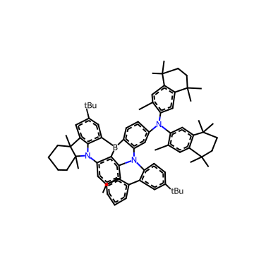 Cc1cc2c3c(c1)N1c4c(cc(C(C)(C)C)cc4C4(C)CCCCC14C)B3c1ccc(N(c3cc4c(cc3C)C(C)(C)CCC4(C)C)c3cc4c(cc3C)C(C)(C)CCC4(C)C)cc1N2c1ccc(C(C)(C)C)cc1-c1ccccc1